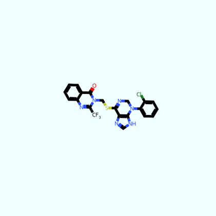 O=c1c2ccccc2nc(C(F)(F)F)n1CSC1=NCN(c2ccccc2Cl)c2[nH]cnc21